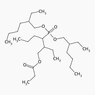 CCCCC(CC)COP(=O)(OCC(CC)CCCC)C(CCC)C(CC)COC(=O)CC